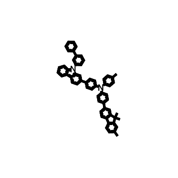 Cc1ccc(N(c2ccc(-c3ccc4c(c3)C(C)(C)c3cc(C)ccc3-4)cc2)c2ccc(-c3ccc4c5ccccc5n(-c5cccc(-c6ccccc6)c5)c4c3)cc2)cc1